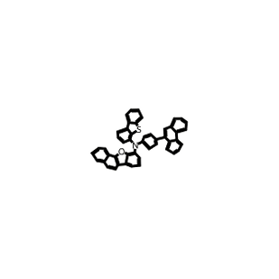 c1ccc2c(c1)cc(-c1ccc(N(c3cccc4c3oc3c5ccccc5ccc43)c3cccc4c3sc3ccccc34)cc1)c1ccccc12